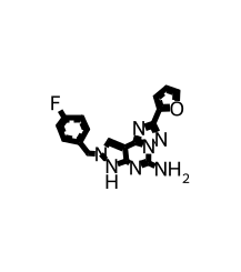 NC1=NC2NN(Cc3ccc(F)cc3)C=C2c2nc(-c3ccco3)nn21